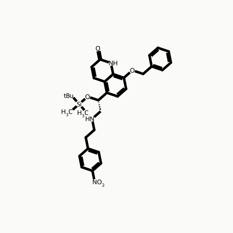 CC(C)(C)[Si](C)(C)O[C@@H](CNCCc1ccc([N+](=O)[O-])cc1)c1ccc(OCc2ccccc2)c2[nH]c(=O)ccc12